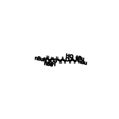 CCCCN(CCCC)CC(O)COCCCCOCC(O)CN(CCCC)CCCC